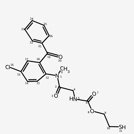 CN(C(=O)CNC(=O)OCCS)c1ccc(Cl)cc1C(=O)c1ccccc1